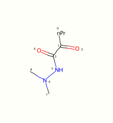 [CH2]CCC(=O)C(=O)NN(C)C